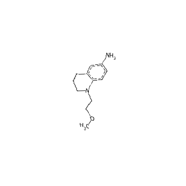 COCCN1CCCc2cc(N)ccc21